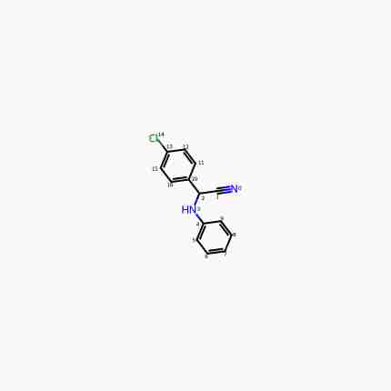 N#CC(Nc1ccccc1)c1ccc(Cl)cc1